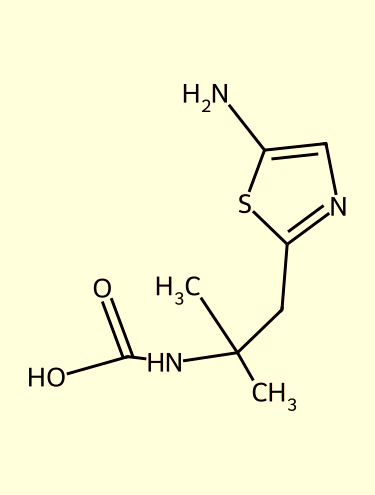 CC(C)(Cc1ncc(N)s1)NC(=O)O